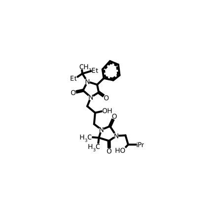 CCC(C)(CC)N1C(=O)N(CC(O)CN2C(=O)N(CC(O)C(C)C)C(=O)C2(C)C)C(=O)C1c1ccccc1